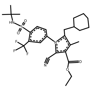 CCOC(=O)c1c(C)c(CC2CCCCC2)n(-c2ccc(S(=O)(=O)NC(C)(C)C)c(C(F)(F)F)c2)c1C#N